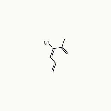 C=C/C=C(/N)C(=C)C